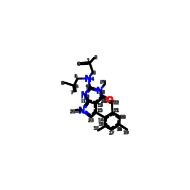 C=C(C)CN(CC(=C)C)c1nc2c(c(-c3c(C)cc(C)cc3C)cn2C)c(=O)n1C